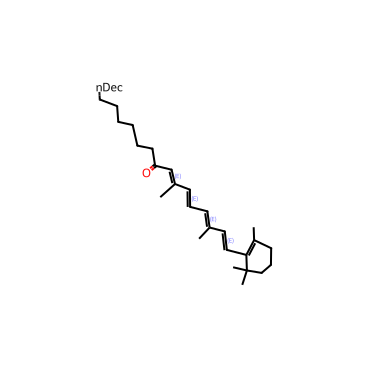 CCCCCCCCCCCCCCCCC(=O)/C=C(C)/C=C/C=C(C)/C=C/C1=C(C)CCCC1(C)C